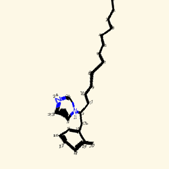 CCCCCCCCCCCCC(Cc1ccccc1C)n1ccnc1